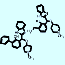 CCc1cccc(C(OC2CCN(C)CC2)c2nc3ccccc3[nH]2)c1O.CN1CCC(OC(c2nc3ccccc3[nH]2)c2cccc(-c3ccccc3)c2O)CC1